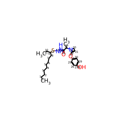 CCCCCCCCCC(CC)SNNC(=O)C(C)N1CC=C1Oc1ccc(O)cc1